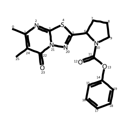 Cc1nc2sc(C3CCCN3C(=O)Oc3ccccc3)nn2c(=O)c1C